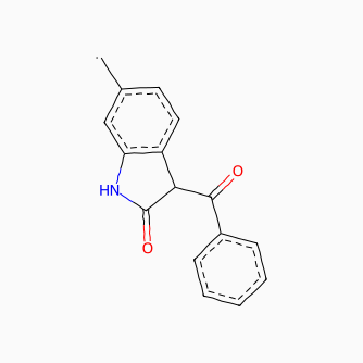 [CH2]c1ccc2c(c1)NC(=O)C2C(=O)c1ccccc1